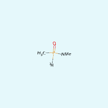 [3H]P(C)(=O)NC